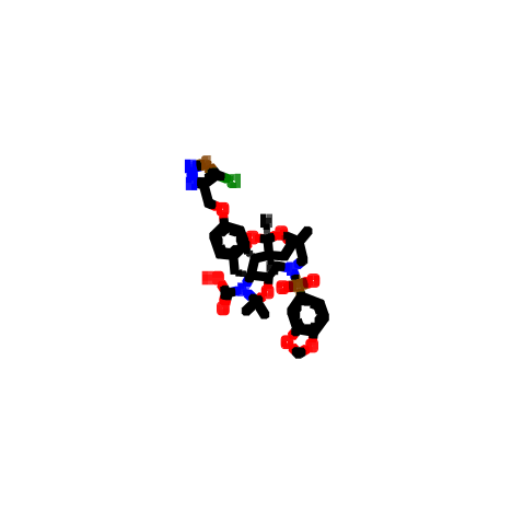 CC(C)CN(C[C@H]1OC(C)(C)N(C(=O)O)[C@@]1(Cc1ccc(OCc2nnsc2Cl)cc1)[C@@H]1CO[C@H]2OCC[C@H]21)S(=O)(=O)c1ccc2c(c1)OCO2